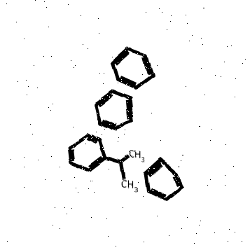 CC(C)c1ccccc1.c1ccccc1.c1ccccc1.c1ccccc1